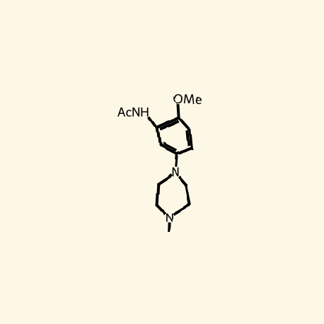 COc1ccc(N2CCN(C)CC2)cc1NC(C)=O